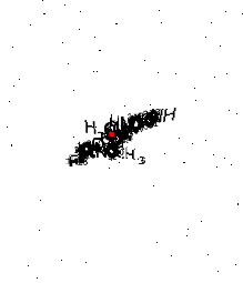 Cc1ccc(NC(=O)c2cccc(CF)c2)cc1N1Cc2cnc(Nc3ccc(N4CCNCC4)cc3)nc2N(C)C1=O